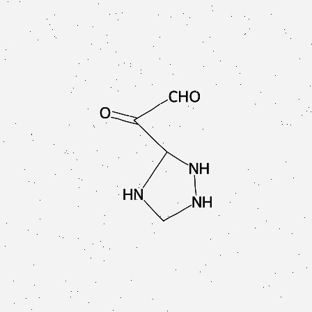 O=CC(=O)C1NCNN1